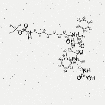 CC(C)(C)OC(=O)NCCCCCCCC(=O)N[C@@H](Cc1ccccc1)C(=O)N[C@@H](Cc1ccccc1)C(=O)NCCNC(=O)O